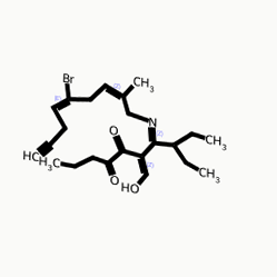 C#CC/C=C(/Br)C/C=C(/C)C/N=C(\C(=C\O)C(=O)C(=O)CCC)C(CC)CC